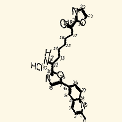 Cc1ccc2cc(-c3cnc(C(N)CCCCCC(=O)c4ncco4)o3)ccc2n1.Cl